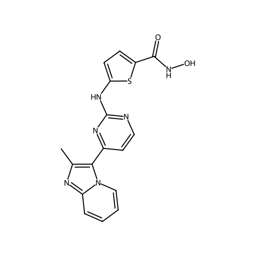 Cc1nc2ccccn2c1-c1ccnc(Nc2ccc(C(=O)NO)s2)n1